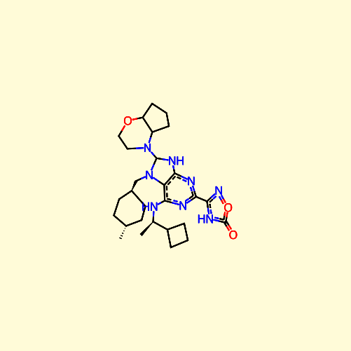 C[C@@H](Nc1nc(-c2noc(=O)[nH]2)nc2c1N(C[C@H]1CC[C@H](C)CC1)C(N1CCOC3CCCC31)N2)C1CCC1